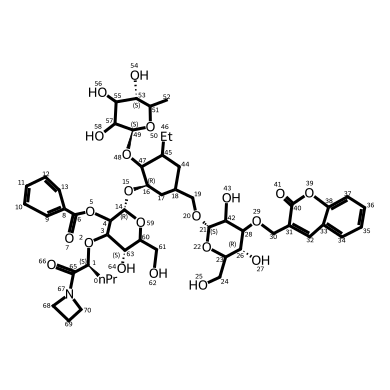 CCC[C@H](OC1C(OC(=O)c2ccccc2)[C@H](O[C@@H]2CC(CO[C@H]3OC(CO)[C@@H](O)C(OCc4cc5ccccc5oc4=O)C3O)CC(CC)C2O[C@@H]2OC(C)[C@@H](O)C(O)C2O)OC(CO)[C@@H]1O)C(=O)N1CCC1